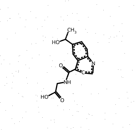 CC(O)c1ccc2nccc(C(=O)NCC(=O)O)c2c1